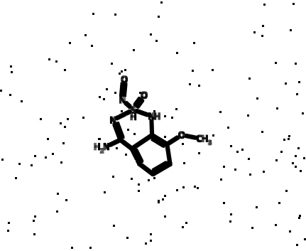 COc1cccc2c1N[SH](=O)(N=O)N=C2N